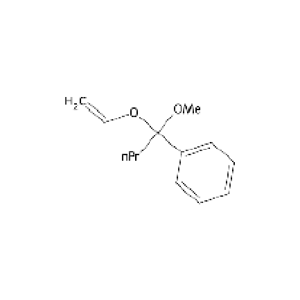 C=COC(CCC)(OC)c1ccccc1